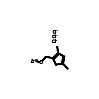 CC1=CC(C)=C(C[O][Zr+3])C1.[Cl-].[Cl-].[Cl-]